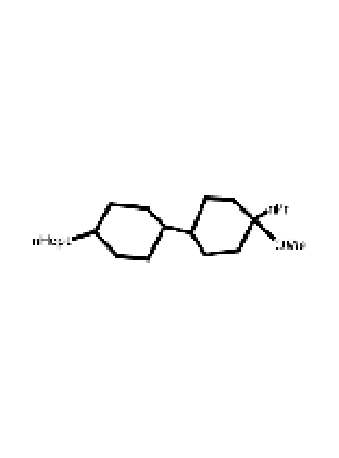 CCCCCCCC1CCC(C2CCC(CCC)(OC)CC2)CC1